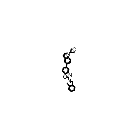 c1ccc2c(c1)CN(c1nc3cc(-c4ccc5c(ccn5C5COC5)c4)ccc3o1)C2